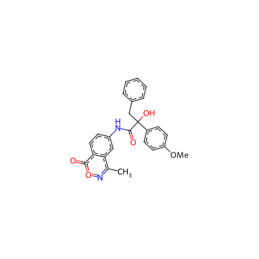 COc1ccc(C(O)(Cc2ccccc2)C(=O)Nc2ccc3c(=O)onc(C)c3c2)cc1